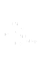 CC/C=C(/F)[C@@H](CC(N)=O)NC(=O)CCCCCCC